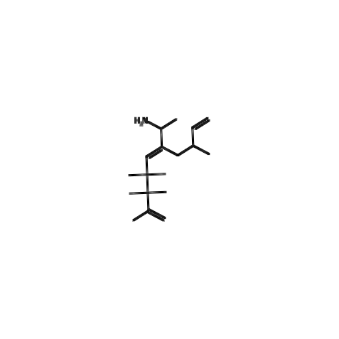 C=CC(C)C/C(=C\C(C)(C)C(C)(C)C(=C)C)C(C)N